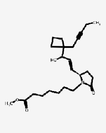 CCC#CCC1(C(O)/C=C/[C@H]2CCC(=O)N2CCCCCCC(=O)OC)CCC1